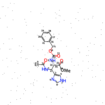 CCC(=O)NC(c1c[nH]cn1)[C@H](NC(=O)OCc1ccccc1)C(=O)OC